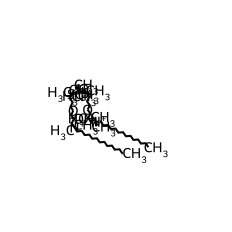 CCCCCCCCCCCCCC[N+](C)(C)CC(O)COCCC[Si](C)(C)O[Si](C)(C)O[Si](C)(C)CCCOCC(O)C[N+](C)(C)CCCCCCCCCCCCCC